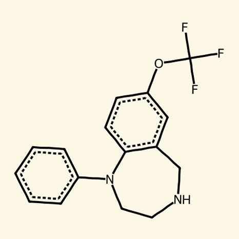 FC(F)(F)Oc1ccc2c(c1)CNCCN2c1ccccc1